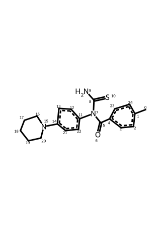 Cc1ccc(C(=O)N(C(N)=S)c2ccc(N3CCCCC3)cc2)cc1